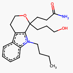 CCCCn1c2c(c3ccccc31)CCOC2(CCCO)CCC(N)=O